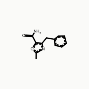 Cc1nc(Cc2ccccc2)c(C(N)=O)o1